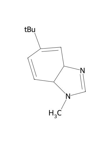 CN1C=NC2C=C(C(C)(C)C)C=CC21